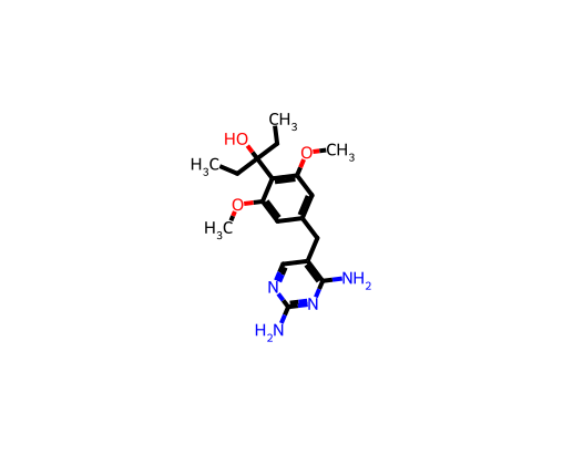 CCC(O)(CC)c1c(OC)cc(Cc2cnc(N)nc2N)cc1OC